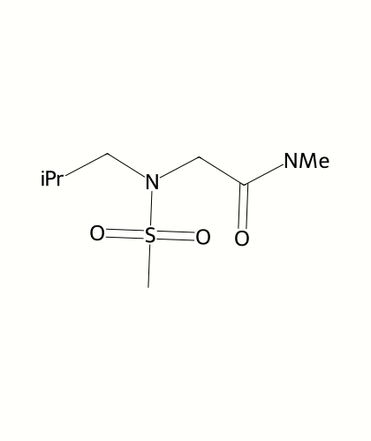 CNC(=O)CN(CC(C)C)S(C)(=O)=O